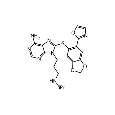 CC(C)NCCCn1c(Sc2cc3c(cc2-c2ncco2)OCO3)nc2c(N)ncnc21